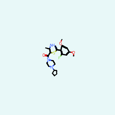 C=C(S/C(C(=O)N1CCN(C2CCCC2)CC1)=C(/C)N)c1c(F)cc(OC)cc1OC